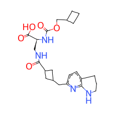 O=C(N[C@@H](CNC(=O)C1CC(Cc2ccc3c(n2)NCCC3)C1)C(=O)O)OCC1CCC1